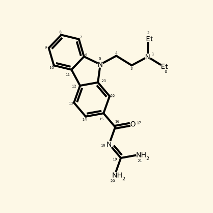 CCN(CC)CCn1c2ccccc2c2ccc(C(=O)N=C(N)N)cc21